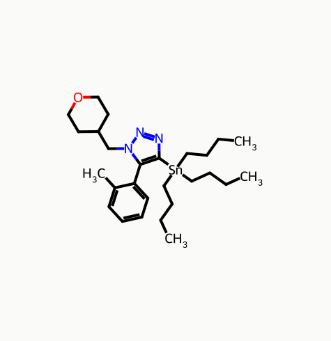 CCC[CH2][Sn]([CH2]CCC)([CH2]CCC)[c]1nnn(CC2CCOCC2)c1-c1ccccc1C